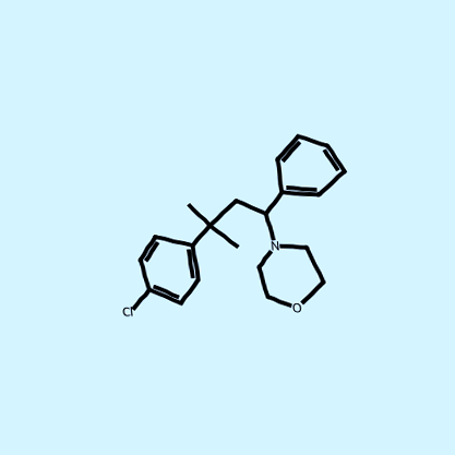 CC(C)(CC(c1ccccc1)N1CCOCC1)c1ccc(Cl)cc1